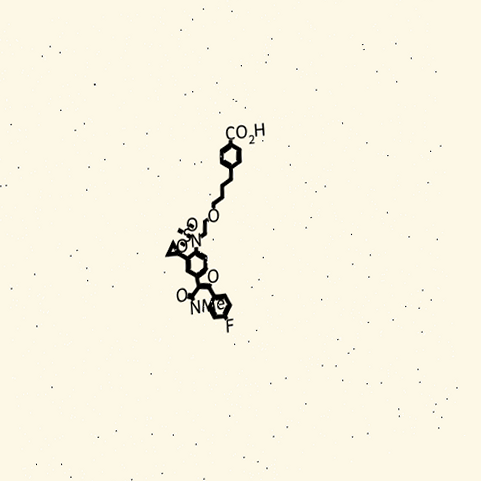 CNC(=O)c1c(-c2ccc(F)cc2)oc2cc(N(CCOCCCCc3ccc(C(=O)O)cc3)S(C)(=O)=O)c(C3CC3)cc12